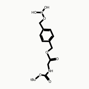 CC(C)(C)OC(=O)NCC(=O)OCc1ccc(CON(O)O)cc1